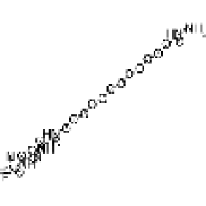 N#C[C@@H]1CC(F)(F)CN1C(=O)CNC(=O)c1ccnc2c(NC(=O)CCC(=O)NCCOCCOCCOCCOCCOCCOCCOCCOCCOCCOCCOCCOCCC(=O)NCCN)cccc12